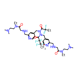 CCN(CCN(C)C)C(=O)CNCc1cc(CN(C(=O)C(F)(F)CC)N(Cc2ccnc(CNCC(=O)N(CC)CCN(C)C)c2)C(=O)C(F)(F)C(F)(F)C(F)(F)F)ccn1